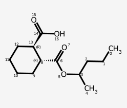 CCCC(C)OC(=O)[C@@H]1CCCC[C@H]1C(=O)O